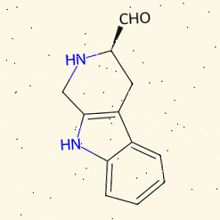 O=C[C@H]1Cc2c([nH]c3ccccc23)CN1